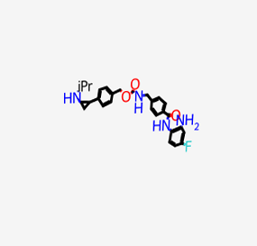 CC(C)N[C@H]1CC1c1ccc(COC(=O)NCc2ccc(C(=O)Nc3ccc(F)cc3N)cc2)cc1